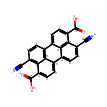 N#Cc1ccc2c3ccc(C(=O)O)c4c(C#N)ccc(c5ccc(C(=O)O)c1c25)c43